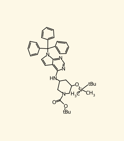 CC(C)(C)OC(=O)N1CC(Nc2ncnc3c2ccn3C(c2ccccc2)(c2ccccc2)c2ccccc2)CC(O[Si](C)(C)C(C)(C)C)C1